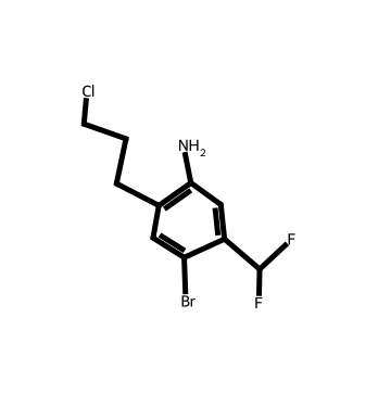 Nc1cc(C(F)F)c(Br)cc1CCCCl